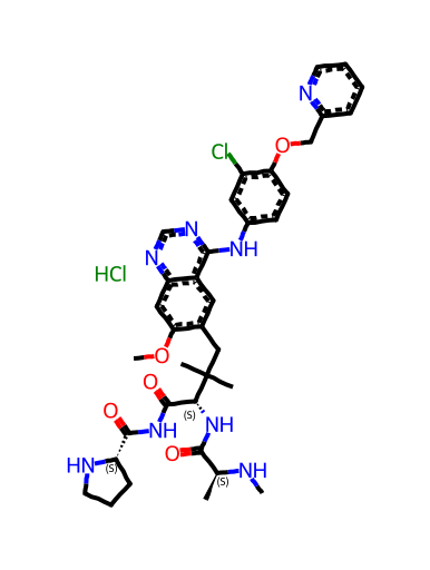 CN[C@@H](C)C(=O)N[C@H](C(=O)NC(=O)[C@@H]1CCCN1)C(C)(C)Cc1cc2c(Nc3ccc(OCc4ccccn4)c(Cl)c3)ncnc2cc1OC.Cl